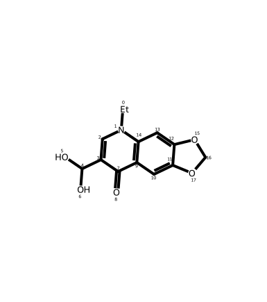 CCn1cc(C(O)O)c(=O)c2cc3c(cc21)OCO3